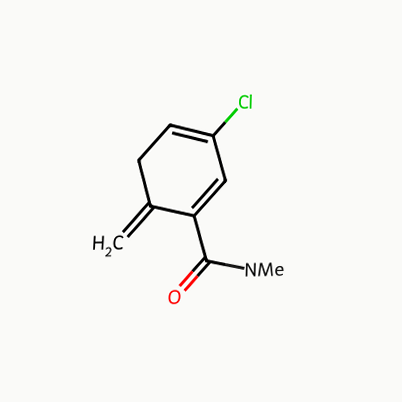 C=C1CC=C(Cl)C=C1C(=O)NC